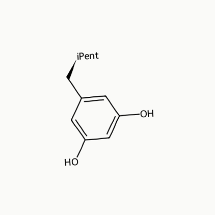 CCC[C@H](C)Cc1cc(O)cc(O)c1